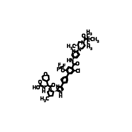 C[C@H]1C[C@@H](c2nc(-c3ccc(-c4cc(Cl)c(C(=O)Nc5ccc(N6CCN(C(=O)C(C)(C)C)C[C@H]6C)nc5)cc4OC(F)(F)F)cc3)c[nH]2)N(C(=O)[C@@H](NC(=O)O)C2CCOCC2)C1